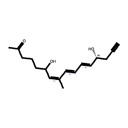 C#CC[C@@H](O)/C=C/C=C/C(C)=C\C(O)CCCC(C)=O